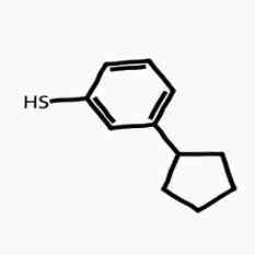 Sc1cccc(C2CCCC2)c1